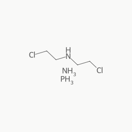 ClCCNCCCl.N.P